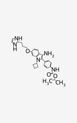 CC(C)OC(=O)Nc1ccc(-c2c(N)c3ccc(OCCCC4NC=CN4)cc3n2C2CCC2)cc1